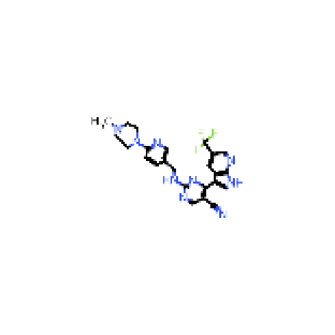 CN1CCN(c2ccc(CNc3ncc(C#N)c(-c4c[nH]c5ncc(C(F)(F)F)cc45)n3)cn2)CC1